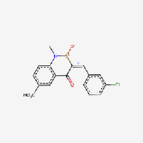 CN1c2ccc(C(=O)O)cc2C(=O)/C(=C\c2cccc(Cl)c2)[S+]1[O-]